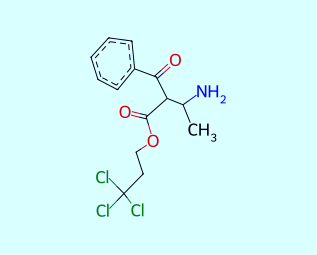 CC(N)C(C(=O)OCCC(Cl)(Cl)Cl)C(=O)c1ccccc1